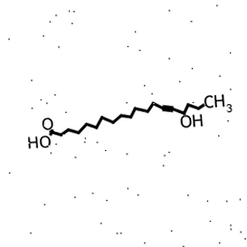 CCCC(O)C#CCCCCCCCCCCCCC(=O)O